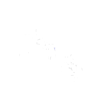 COC[C@H]1C[C@@H](C(=O)OC(C)(C)/C=C(\C)CCCOC(=O)[C@@H]2CC[C@H](C)N2C(=O)[C@@H](NC(=O)OC)C(C)C)N(C(=O)OC(C)(C)C)C1